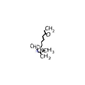 C=CC(=O)CCCCCN(C)C(=C)/C=C\C=O